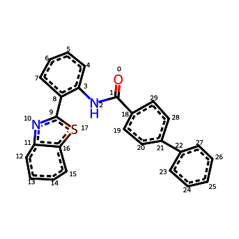 O=C(Nc1ccccc1-c1nc2ccccc2s1)c1ccc(-c2ccccc2)cc1